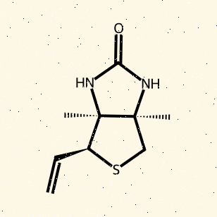 C=C[C@@H]1SC[C@]2(C)NC(=O)N[C@]12C